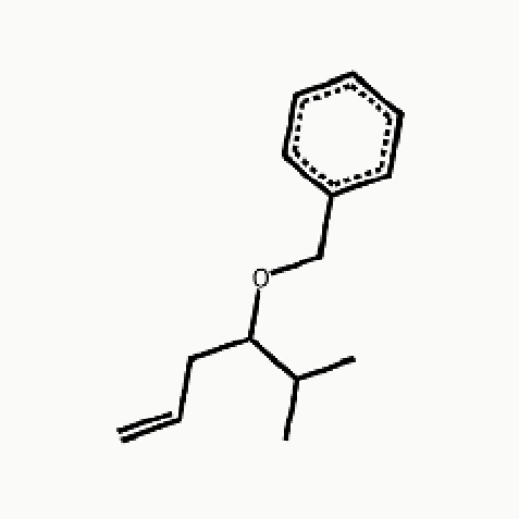 C=CCC(OCc1ccccc1)C(C)C